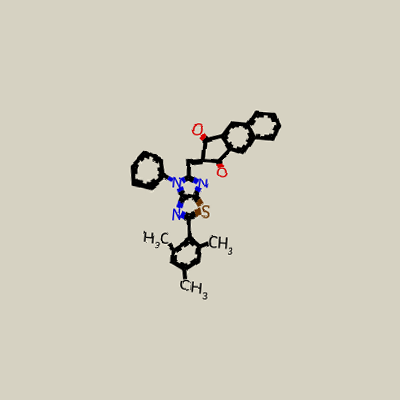 Cc1cc(C)c(-c2nc3c(nc(C=C4C(=O)c5cc6ccccc6cc5C4=O)n3-c3ccccc3)s2)c(C)c1